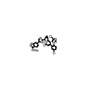 CNc1noc2cc(-c3cnc(C4C5CC5c5cc(-c6cc(Cl)ccc6-n6cc(Cl)nn6)cc(=O)n54)[nH]3)ccc12